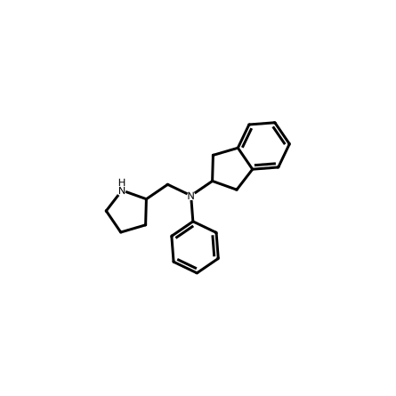 c1ccc(N(CC2CCCN2)C2Cc3ccccc3C2)cc1